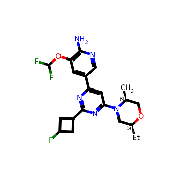 CC[C@H]1CN(c2cc(-c3cnc(N)c(OC(F)F)c3)nc(C3CC(F)C3)n2)[C@@H](C)CO1